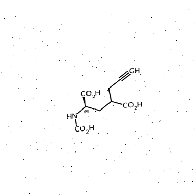 C#CCC(C[C@@H](NC(=O)O)C(=O)O)C(=O)O